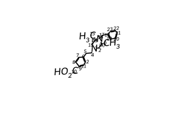 C[C@@H]1CN(CCc2ccc(C(=O)O)cc2)C[C@H](C)N1Cc1ccccc1